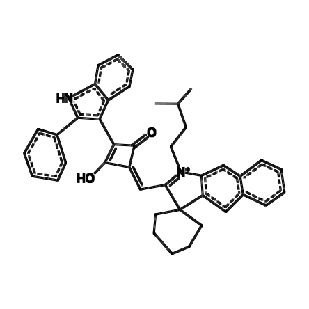 CC(C)CC[N+]1=C(/C=C2\C(=O)C(c3c(-c4ccccc4)[nH]c4ccccc34)=C2O)C2(CCCCC2)c2cc3ccccc3cc21